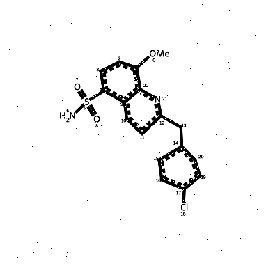 COc1ccc(S(N)(=O)=O)c2ccc(Cc3ccc(Cl)cc3)nc12